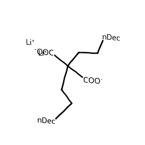 CCCCCCCCCCCCC(CCCCCCCCCCCC)(C(=O)[O-])C(=O)[O-].[Li+].[Li+]